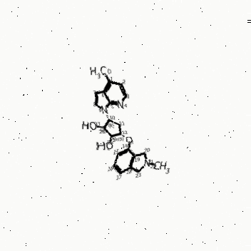 Cc1ccnc2c1ccn2[C@@H]1C[C@H](Oc2cccc3c2CN(C)C3)[C@@H](O)[C@H]1O